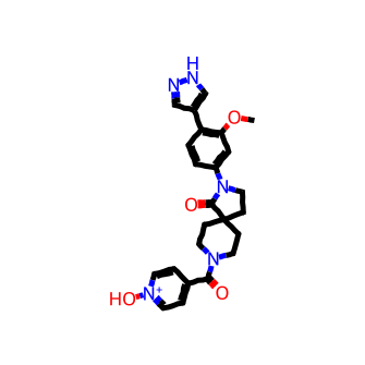 COc1cc(N2CCC3(CCN(C(=O)c4cc[n+](O)cc4)CC3)C2=O)ccc1-c1cn[nH]c1